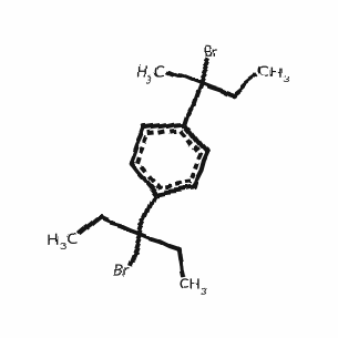 CCC(C)(Br)c1ccc(C(Br)(CC)CC)cc1